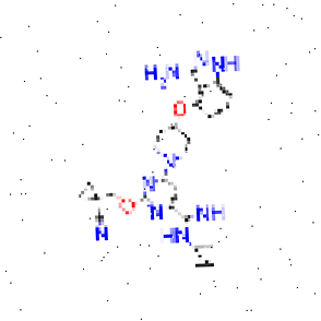 N#CC1(COc2nc(C(=N)NC34CC(C3)C4)cc(N3CCC(Oc4cccc5[nH]nc(N)c45)CC3)n2)CC1